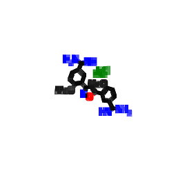 COc1ccc(C(=N)N)cc1-c1cc(-c2cc(C(=N)N)ccc2OC)on1.Cl.Cl